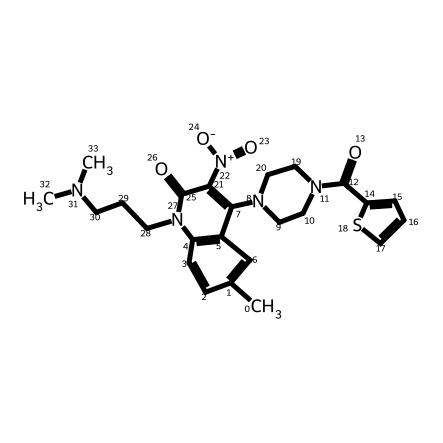 Cc1ccc2c(c1)c(N1CCN(C(=O)c3cccs3)CC1)c([N+](=O)[O-])c(=O)n2CCCN(C)C